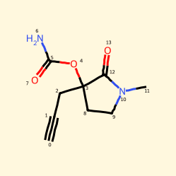 C#CCC1(OC(N)=O)CCN(C)C1=O